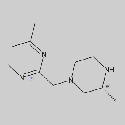 C/N=C(/CN1CCN[C@H](C)C1)N=C(C)C